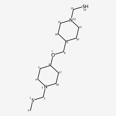 CSCN1CCC(OCC2CCN(CS)CC2)CC1